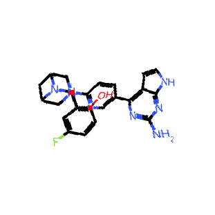 Nc1nc(-c2ccc(N3CC4CC(C3)N4Cc3cc(F)ccc3O)nc2)c2cc[nH]c2n1